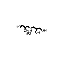 Cl.OCC(O)CNCC(O)CO